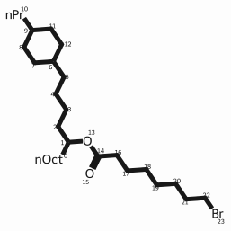 CCCCCCCCC(CCCCC1CCC(CCC)CC1)OC(=O)CCCCCCCBr